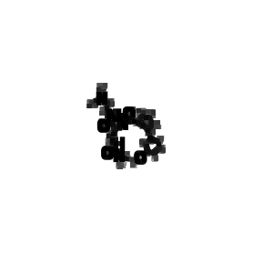 C[C@H]1COc2cccc(c2)-c2cccc(c2)C(=O)N(C)[C@H](C(=O)NCCN(C)C)CCC(=O)N1